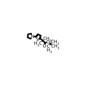 CC(C)(C)OC(=O)C(C)(C)c1ccc(N2CCCC2)s1